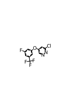 Fc1cc(Oc2cnnc(Cl)c2)cc(C(F)(F)F)c1